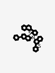 c1ccc(-c2ccc3cc(N(c4cc5c6ccccc6sc5c5ccccc45)c4cccc5c4sc4c6ccccc6ccc54)ccc3c2)cc1